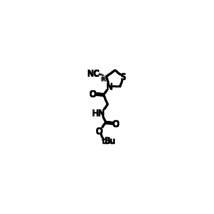 CC(C)(C)OC(=O)NCC(=O)N1CSC[C@H]1C#N